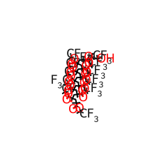 CCC(C)(CC(C)(CC(C)(CC(C)(CC(C)(CC(C)(CC(C)(CC(C)(CC(C)(CC(C)(CC(C)(C)C(=O)OC(C)C(F)(F)F)C(=O)OC(C)C(F)(F)F)C(=O)OC(C)C(F)(F)F)C(=O)OC(C)C(F)(F)F)C(=O)OC(C)C(F)(F)F)C(=O)OC(C)C(F)(F)F)C(=O)OC(C)C(F)(F)F)C(=O)OC(C)C(F)(F)F)C(=O)OC(C)C(F)(F)F)C(=O)OC(C)C(F)(F)F)C(=O)OC(C)CC(C)(O)C(F)(F)F